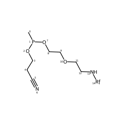 CP(OCCC#N)OCCOCC[NH][Rf]